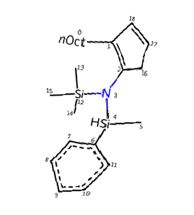 CCCCCCCCC1=C(N([SiH](C)c2ccccc2)[Si](C)(C)C)CC=C1